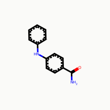 NC(=O)c1ccc(Nc2[c]cccc2)cc1